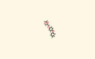 CC1(C)OCC(COc2ccc(Oc3ccc(F)cc3)cc2)O1